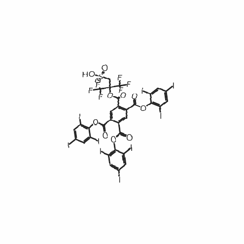 O=C(Oc1c(I)cc(I)cc1I)c1cc(C(=O)Oc2c(I)cc(I)cc2I)c(C(=O)OC(CS(=O)(=O)O)(C(F)(F)F)C(F)(F)F)cc1C(=O)Oc1c(I)cc(I)cc1I